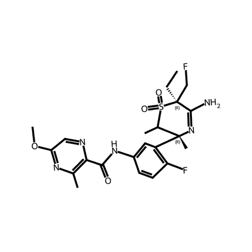 CC[C@]1(CF)C(N)=N[C@](C)(c2cc(NC(=O)c3ncc(OC)nc3C)ccc2F)C(C)S1(=O)=O